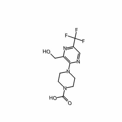 O=C(O)N1CCN(c2ncc(C(F)(F)F)nc2CO)CC1